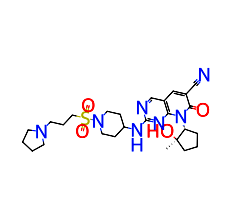 C[C@@]1(O)CCC[C@H]1n1c(=O)c(C#N)cc2cnc(NC3CCN(S(=O)(=O)CCCN4CCCC4)CC3)nc21